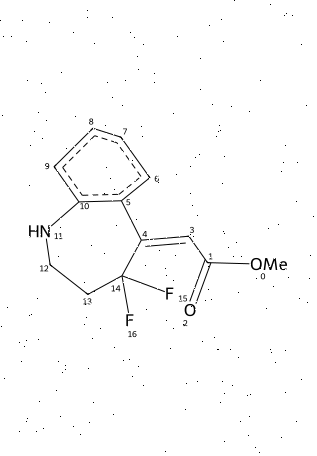 COC(=O)/C=C1/c2ccccc2NCCC1(F)F